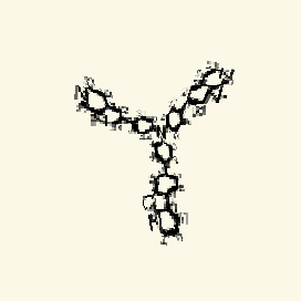 c1cnc2oc3cc(-c4ccc(N(c5ccc(-c6cnc7cnccc7c6)cc5)c5ccc(-c6cnc7cnccc7c6)cc5)cc4)ccc3c2c1